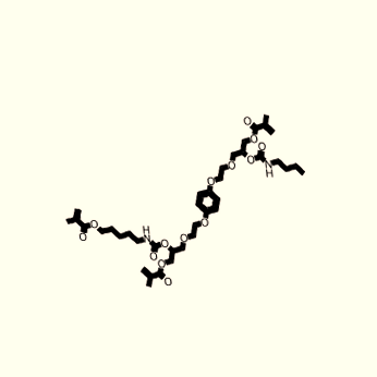 C=C(C)C(=O)OCCCCCNC(=O)OC(COCCOc1ccc(OCCOCC(COC(=O)C(=C)C)OC(=O)NCCCC)cc1)COC(=O)C(=C)C